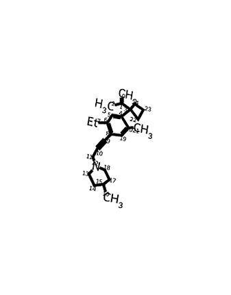 C=C(C)C1(c2cc(CC)c(C#CCN3CCC(C)CC3)cc2C)CCC1